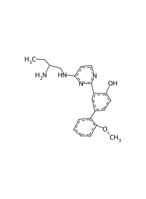 CCC(N)CNc1ccnc(-c2cc(-c3ccccc3OC)ccc2O)n1